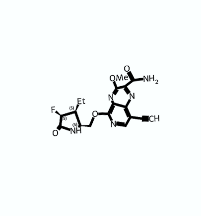 C#Cc1cnc(OC[C@H]2NC(=O)[C@@H](F)[C@H]2CC)c2nc(OC)c(C(N)=O)nc12